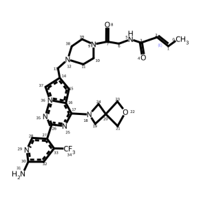 C/C=C/C(=O)NCC(=O)N1CCN(Cc2cc3c(N4CC5(COC5)C4)nc(-c4cnc(N)cc4C(F)(F)F)nn3c2)CC1